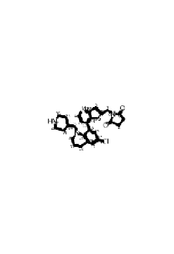 O=C1CCC(=O)N1Cc1cc2nccc(-c3cc(Cl)cc4c3N(CC3CCNCC3)CCC4)c2s1